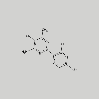 CCc1c(C)nc(-c2ccc(C(C)(C)C)cc2O)nc1N